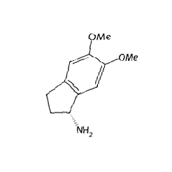 COc1cc2c(cc1OC)[C@H](N)CC2